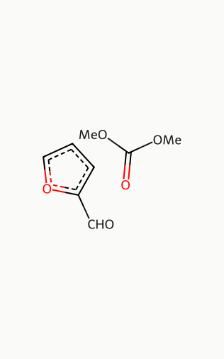 COC(=O)OC.O=Cc1ccco1